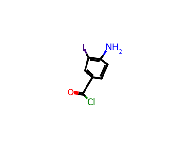 Nc1ccc(C(=O)Cl)cc1I